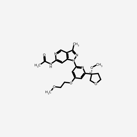 COCCOc1cc(-n2nc(C)c3cnc(NC(C)=O)cc32)nc([C@@]2(OC)CCOC2)c1